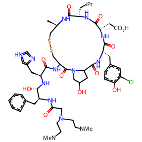 CNCCN(CCNC)CC(=O)N[C@@H](Cc1ccccc1)[C@H](O)N[C@@H](Cc1c[nH]cn1)C(=O)N[C@H]1CSSC[C@@H](C)NC(=O)[C@H](CC(C)C)NC(=O)[C@H](CC(=O)O)NC(=O)[C@H](Cc2ccc(O)c(Cl)c2)NC(=O)C2CC(O)CN2C1=O